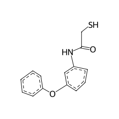 O=C(CS)Nc1cccc(Oc2ccccc2)c1